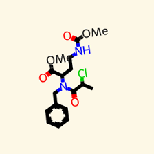 COC(=O)NCCC(C(=O)OC)N(Cc1ccccc1)C(=O)C(C)Cl